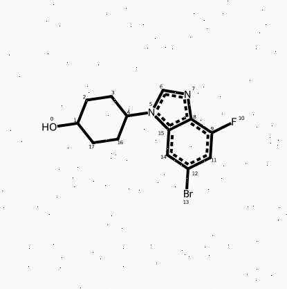 OC1CCC(n2cnc3c(F)cc(Br)cc32)CC1